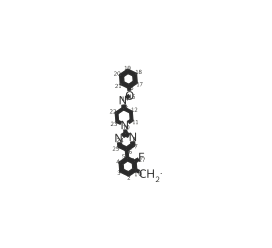 [CH2]c1cccc(-c2cnc(N3CCC(=NOc4ccccc4)CC3)nc2)c1F